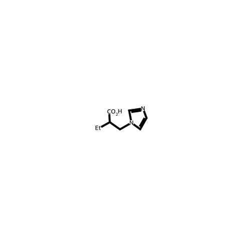 CCC(Cn1ccnc1)C(=O)O